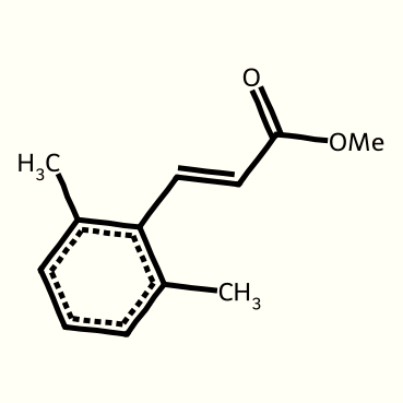 COC(=O)C=Cc1c(C)cccc1C